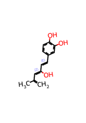 C=C(C)/C=C(O)/C=C/c1ccc(O)c(O)c1